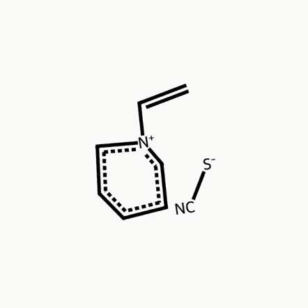 C=C[n+]1ccccc1.N#C[S-]